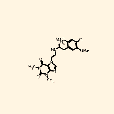 COc1cc(CC(C)NCCn2cnc3c2c(=O)n(C)c(=O)n3C)c(OC)cc1Cl